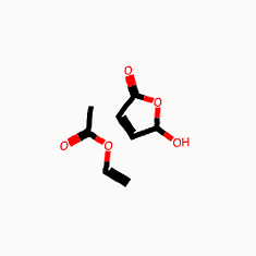 C=COC(C)=O.O=C1C=CC(O)O1